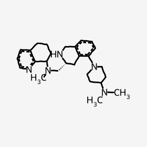 CN(C)C1CCN(c2cccc3c2C[C@H](CN(C)C2CCCc4cccnc42)NC3)CC1